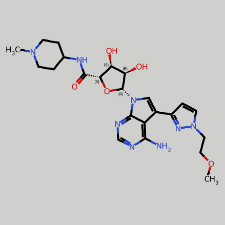 COCCn1ccc(-c2cn([C@@H]3O[C@H](C(=O)NC4CCN(C)CC4)[C@@H](O)[C@H]3O)c3ncnc(N)c23)n1